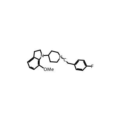 COc1cccc2c1N(C1CCN(CCc3ccc(F)cc3)CC1)CC2